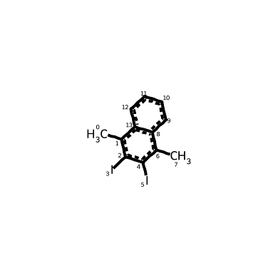 Cc1c(I)c(I)c(C)c2ccccc12